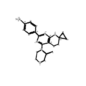 CC1COCCN1c1nc(-c2ccc(N)cc2)nc2c1CCC1(CC1)O2